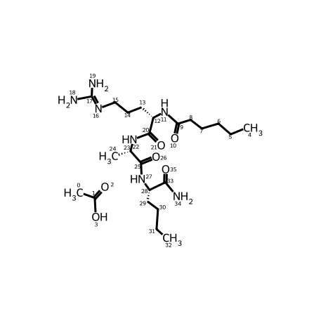 CC(=O)O.CCCCCC(=O)N[C@@H](CCCN=C(N)N)C(=O)N[C@@H](C)C(=O)N[C@@H](CCCC)C(N)=O